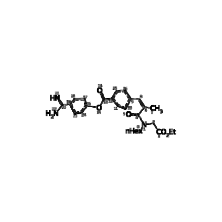 CCCCCCN(CC(=O)OCC)C(=O)C(C)=Cc1ccc(C(=O)Oc2ccc(C(=N)N)cc2)cc1